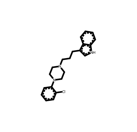 Clc1ccccc1N1CCN(CCCc2c[nH]c3ccccc23)CC1